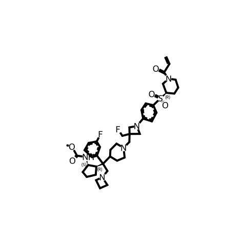 C=CC(=O)N1CCC[C@@H](S(=O)(=O)c2ccc(N3CC(CF)(CN4CCC(C(CN5CCC5)(c5cccc(F)c5)[C@H]5CCC[C@@H]5NC(=O)OC)CC4)C3)cc2)C1